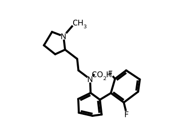 CN1CCCC1CCN(C(=O)O)c1ccccc1-c1c(F)cccc1F